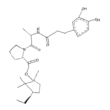 CC[C@@H]1CCC(C)(OC(=O)C2CCCN2C(=O)C(C)NC(=O)CCc2ccc(O)c(O)c2)C1(C)C